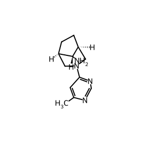 Cc1cc(N2C[C@H]3CC[C@@H](C2)[C@@H]3N)ncn1